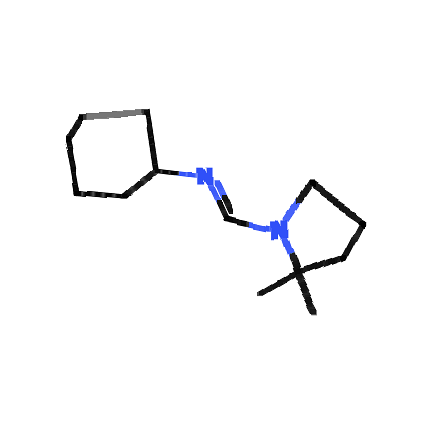 CC1(C)CCCN1C=NC1CCCCC1